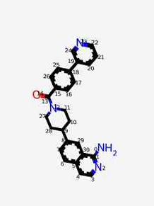 Nc1nccc2ccc(C3CCN(C(=O)c4ccc(-c5cccnc5)cc4)CC3)cc12